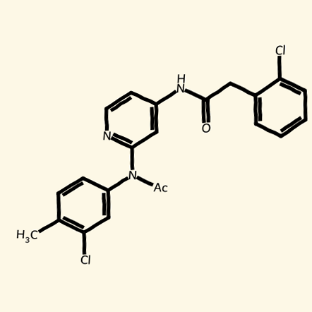 CC(=O)N(c1ccc(C)c(Cl)c1)c1cc(NC(=O)Cc2ccccc2Cl)ccn1